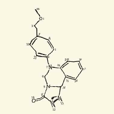 COCc1ccc(N2CN3C(=O)N=NC3c3ccccc32)cc1